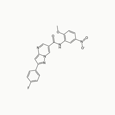 COc1ccc([N+](=O)[O-])cc1NC(=O)c1cnc2cc(-c3ccc(F)cc3)nn2c1